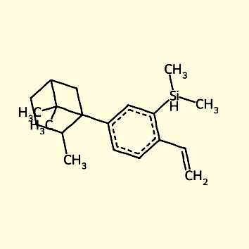 C=Cc1ccc(C23CC(CCC2C)C3(C)C)cc1[SiH](C)C